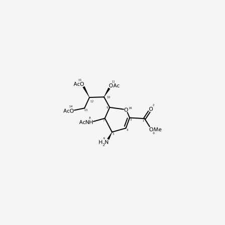 COC(=O)C1=C[C@@H](N)C(NC(C)=O)C([C@H](OC(C)=O)[C@@H](COC(C)=O)OC(C)=O)O1